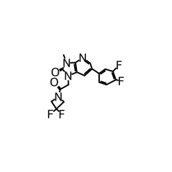 Cn1c(=O)n(CC(=O)N2CC(F)(F)C2)c2cc(-c3ccc(F)c(F)c3)cnc21